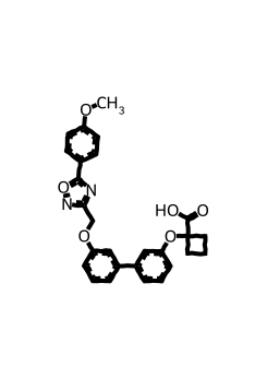 COc1ccc(-c2nc(COc3cccc(-c4cccc(OC5(C(=O)O)CCC5)c4)c3)no2)cc1